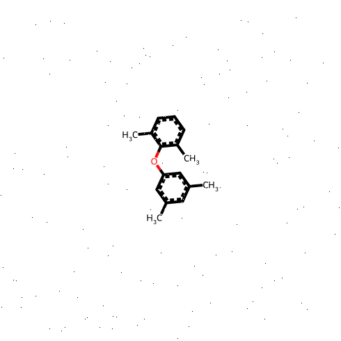 Cc1cc(C)cc(Oc2c(C)cccc2C)c1